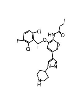 CCCC(=O)Nc1ncc(-c2cnn(C3CCNCC3)c2)cc1O[C@H](C)c1c(Cl)ccc(F)c1Cl